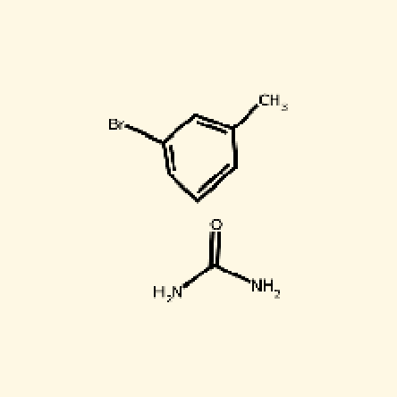 Cc1cccc(Br)c1.NC(N)=O